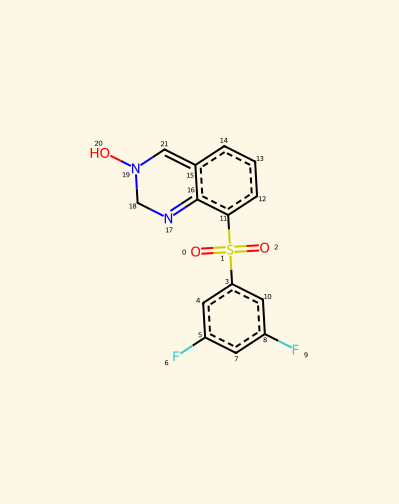 O=S(=O)(c1cc(F)cc(F)c1)c1cccc2c1=NCN(O)C=2